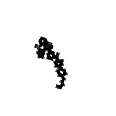 CC1(C)C2CCC1(C)C(N(C(=O)c1ccnc(Nc3ccc(N4CCN(CCCO)CC4)cc3)n1)C1CC3CCC1C3)C2